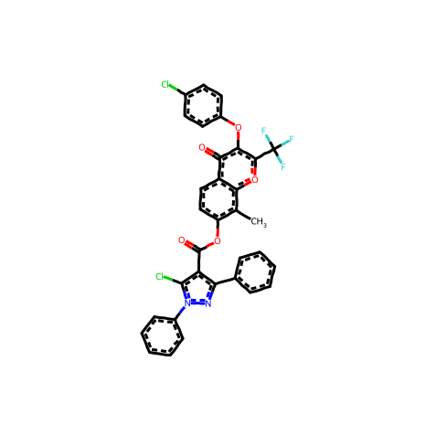 Cc1c(OC(=O)c2c(-c3ccccc3)nn(-c3ccccc3)c2Cl)ccc2c(=O)c(Oc3ccc(Cl)cc3)c(C(F)(F)F)oc12